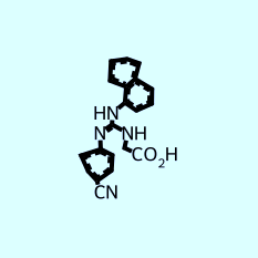 N#Cc1ccc(N=C(NCC(=O)O)Nc2cccc3ccccc23)cc1